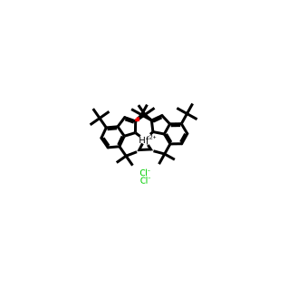 CC(C)(C)C1=Cc2c(C(C)(C)C)ccc(C(C)(C)C)c2[CH]1[Hf+2]1([CH]2C(C(C)(C)C)=Cc3c(C(C)(C)C)ccc(C(C)(C)C)c32)[CH2][CH2]1.[Cl-].[Cl-]